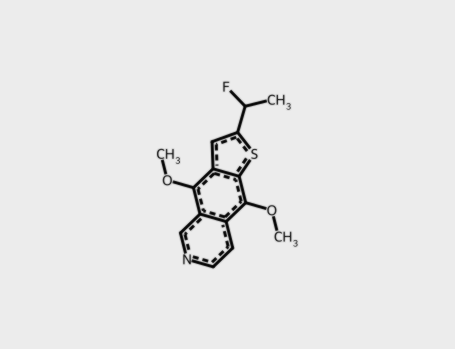 COc1c2cnccc2c(OC)c2sc(C(C)F)cc12